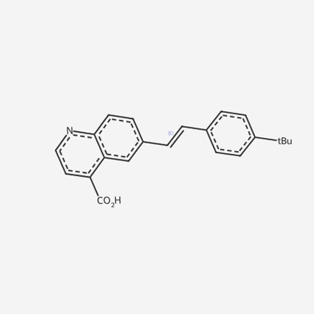 CC(C)(C)c1ccc(/C=C/c2ccc3nccc(C(=O)O)c3c2)cc1